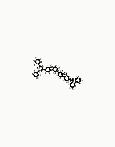 c1ccc(-c2cc(-c3ccc4c(c3)sc3ccc(-c5ccc6c(c5)oc5cc(Nc7ccccc7-c7ccccc7)ccc56)cc34)cc(-c3ccccc3)n2)cc1